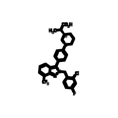 CC(C(=O)O)[C@H]1CCCN(c2ccc(-c3c4cccc(C(F)(F)F)c4nn3Cc3ccc(F)cc3Cl)cc2)C1